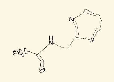 CCOC(=O)C(=O)NCc1ncccn1